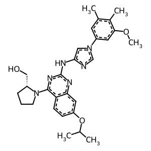 COc1cc(-n2cnc(Nc3nc(N4CCC[C@@H]4CO)c4ccc(OC(C)C)cc4n3)c2)cc(C)c1C